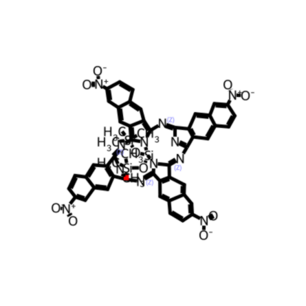 C[Si](C)(C)O[Si]1(O[Si](C)(C)C)n2c3c4cc5cc([N+](=O)[O-])ccc5cc4c2/N=C2N=C(/N=c4/c5cc6cc([N+](=O)[O-])ccc6cc5/c(n41)=N/C1=NC(=N\3)/c3cc4ccc([N+](=O)[O-])cc4cc31)c1cc3ccc([N+](=O)[O-])cc3cc1\2